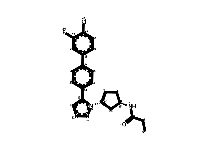 CCC(=O)N[C@H]1CC[C@@H](n2nncc2-c2ccc(-c3ccc(Cl)c(F)c3)cc2)C1